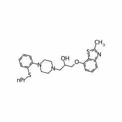 CCCSc1ccccc1N1CCN(CC(O)COc2cccc3nc(C)sc23)CC1